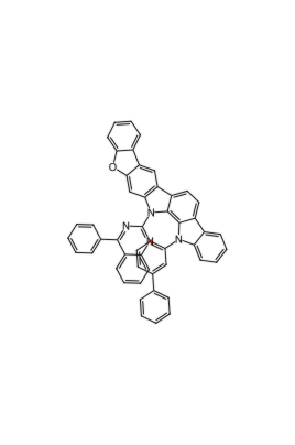 c1ccc(-c2cccc(-n3c4ccccc4c4ccc5c6cc7c(cc6n(-c6nc(-c8ccccc8)c8ccccc8n6)c5c43)oc3ccccc37)c2)cc1